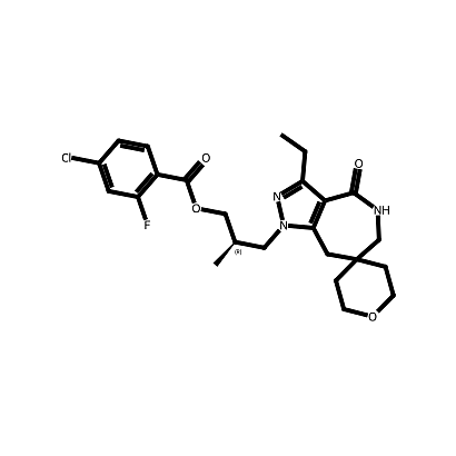 CCc1nn(C[C@@H](C)COC(=O)c2ccc(Cl)cc2F)c2c1C(=O)NCC1(CCOCC1)C2